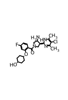 CC1=N/C(=C2\CN(C(=O)c3ccc(F)cc3O[C@H]3CC[C@H](O)CC3)CC2N)NC(C)=C1Cl